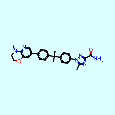 Cc1nc(C(N)=O)nn1-c1ccc(C(C)(C)c2ccc(-c3cnc4c(c3)OCCN4C)cc2)cc1